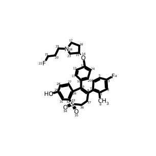 Cc1cc(F)ccc1C1=C(c2ccc(O[C@H]3CCN(CCCF)C3)cc2)c2ccc(O)cc2S(=O)(=O)CC1